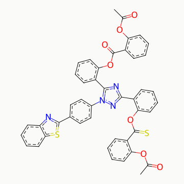 CC(=O)Oc1ccccc1C(=O)Oc1ccccc1-c1nc(-c2ccccc2OC(=S)c2ccccc2OC(C)=O)nn1-c1ccc(-c2nc3ccccc3s2)cc1